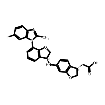 Cc1nc2ccc(F)cc2n1-c1cccc2c1OC[C@H]2Nc1ccc2c(c1)OC[C@H]2CC(=O)O